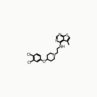 Cc1csc2ncnc(NCCN3CCC(Oc4ccc(Cl)c(Cl)c4)CC3)c12